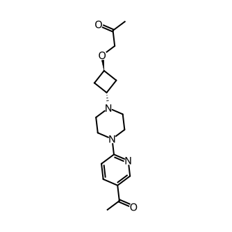 CC(=O)CO[C@H]1C[C@H](N2CCN(c3ccc(C(C)=O)cn3)CC2)C1